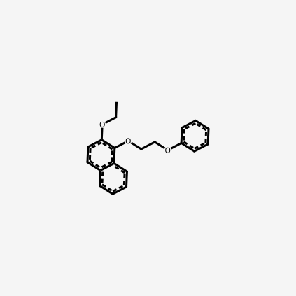 CCOc1ccc2ccccc2c1OCCOc1ccccc1